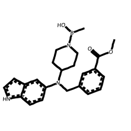 COC(=O)c1cccc(CN(c2ccc3[nH]ccc3c2)C2CCN(B(C)O)CC2)c1